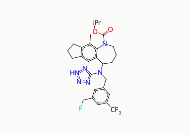 Cc1c2c(cc3c1N(C(=O)OC(C)C)CCCC3N(Cc1cc(CF)cc(C(F)(F)F)c1)c1nn[nH]n1)CCC2